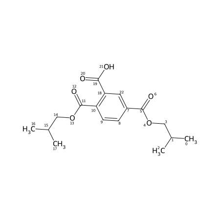 CC(C)COC(=O)c1ccc(C(=O)OCC(C)C)c(C(=O)O)c1